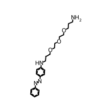 NCCCOCCOCCOCCCNc1ccc(N=Nc2ccccc2)cc1